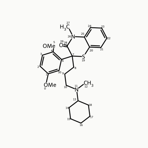 COc1ccc(OC)c(C2(CCCN(C)C3CCCCC3)Sc3ccccc3N(C)C2=O)c1